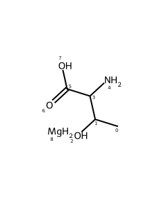 CC(O)C(N)C(=O)O.[MgH2]